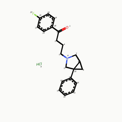 Cl.O=C(CCCN1CC2CC2(c2ccccc2)C1)c1ccc(F)cc1